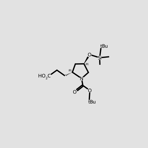 CC(C)(C)OC(=O)N1C[C@H](O[Si](C)(C)C(C)(C)C)C[C@H]1CCC(=O)O